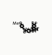 COc1ccc(CNC(=O)C2CCC(Nc3nc(N(C)C)c4cc(F)c(F)cc4n3)CC2)cc1